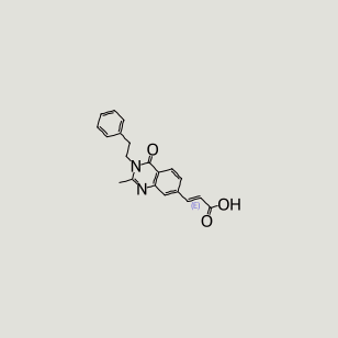 Cc1nc2cc(/C=C/C(=O)O)ccc2c(=O)n1CCc1ccccc1